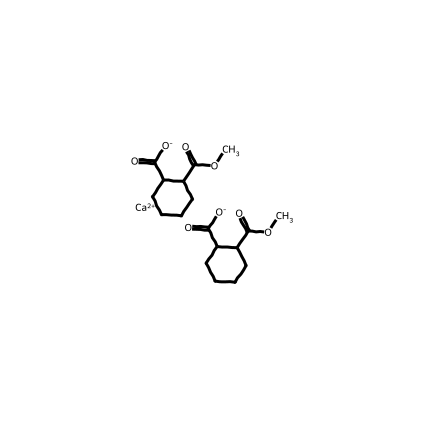 COC(=O)C1CCCCC1C(=O)[O-].COC(=O)C1CCCCC1C(=O)[O-].[Ca+2]